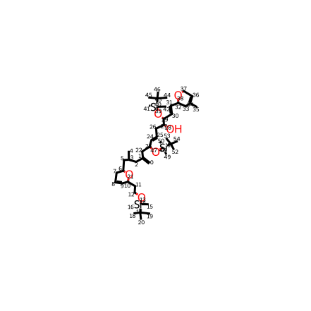 C=C(CC(C)CC1CC=CC(CCO[Si](C)(C)C(C)(C)C)O1)CC(/C=C/CC(O)C(/C=C/C1CC(C)=CCO1)O[Si](C)(C)C(C)(C)C)O[Si](C)(C)C(C)(C)C